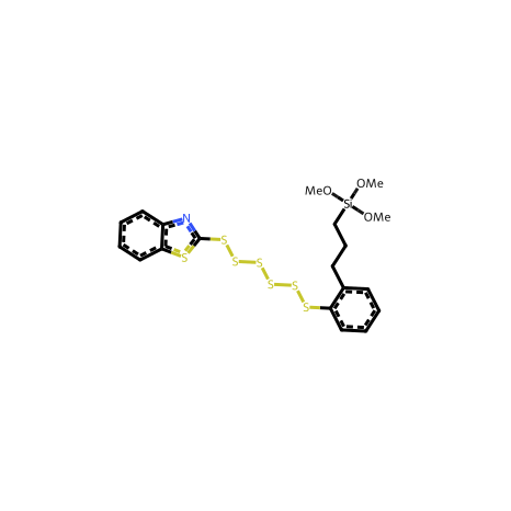 CO[Si](CCCc1ccccc1SSSSSSc1nc2ccccc2s1)(OC)OC